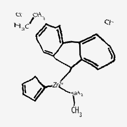 CC.C[SiH2][Zr+2]([C]1=CC=CC1)[CH]1c2ccccc2-c2ccccc21.[Cl-].[Cl-]